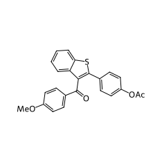 COc1ccc(C(=O)c2c(-c3ccc(OC(C)=O)cc3)sc3ccccc23)cc1